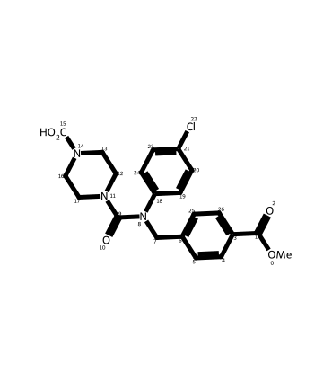 COC(=O)c1ccc(CN(C(=O)N2CCN(C(=O)O)CC2)c2ccc(Cl)cc2)cc1